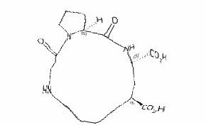 O=C(O)[C@H]1CCCCNCC(=O)N2CCC[C@H]2C(=O)N[C@H](C(=O)O)C1